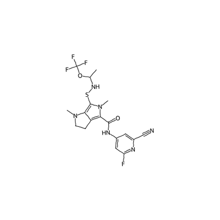 CC(NSc1c2c(c(C(=O)Nc3cc(F)nc(C#N)c3)n1C)CCN2C)OC(F)(F)F